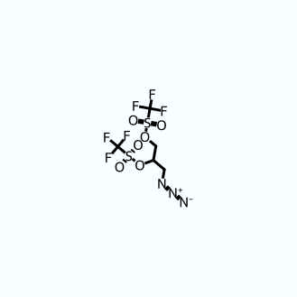 [N-]=[N+]=NCC(COS(=O)(=O)C(F)(F)F)OS(=O)(=O)C(F)(F)F